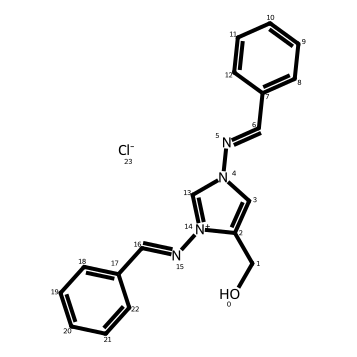 OCc1cn(N=Cc2ccccc2)c[n+]1N=Cc1ccccc1.[Cl-]